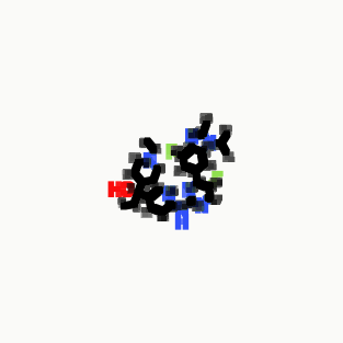 CCN1CCC([C@@](O)(CC)c2ccc(Nc3ncc(F)c(-c4cc(F)c5nc(C)n(C(C)C)c5c4)n3)nc2)CC1